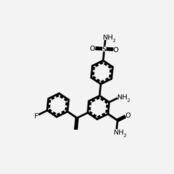 C=C(c1cccc(F)c1)c1cc(C(N)=O)c(N)c(-c2ccc(S(N)(=O)=O)cc2)c1